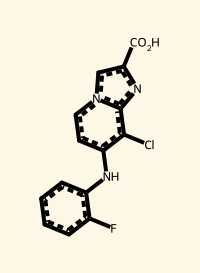 O=C(O)c1cn2ccc(Nc3ccccc3F)c(Cl)c2n1